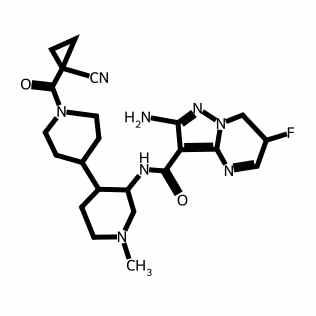 CN1CCC(C2CCN(C(=O)C3(C#N)CC3)CC2)C(NC(=O)c2c(N)nn3c2N=CC(F)C3)C1